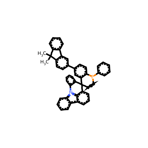 CC1(C)c2ccccc2-c2cc(-c3ccc4c(c3)C3(c5ccccc5-n5c6ccccc6c6cccc3c65)c3ccccc3P4c3ccccc3)ccc21